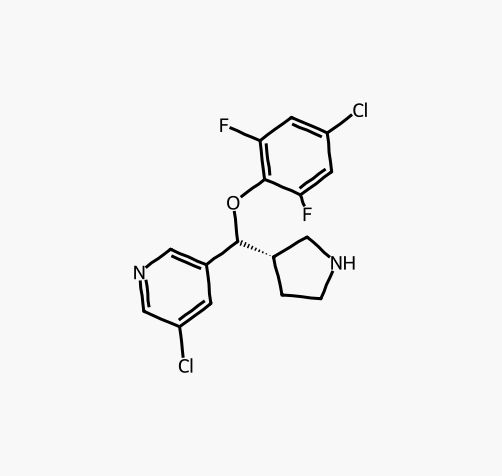 Fc1cc(Cl)cc(F)c1OC(c1cncc(Cl)c1)[C@H]1CCNC1